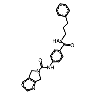 O=C([AsH]CCCc1ccccc1)c1ccc(NC(=O)N2Cc3cncnc3C2)cc1